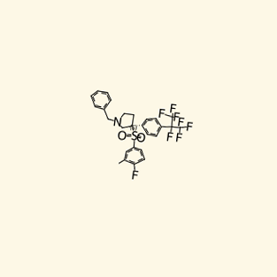 Cc1cc(S(=O)(=O)[C@]2(c3ccc(C(F)(C(F)(F)F)C(F)(F)F)cc3)CCN(Cc3ccccc3)C2)ccc1F